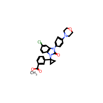 COC(=O)c1cccc(C2(n3c(=O)n(-c4ccc(N5CCOCC5)cc4)c4cc(Cl)ccc43)CC2)c1